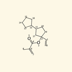 C=CC1(OC(=O)C(=C)C)CCC(C2CCCC2)C1